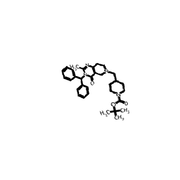 Cc1nc2c(c(=O)n1C(c1ccccc1)c1ccccc1)CN(CC1CCN(C(=O)OC(C)(C)C)CC1)CC2